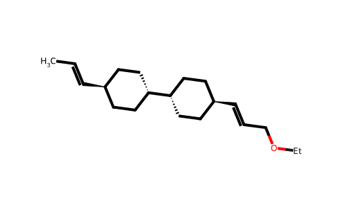 CC=C[C@H]1CC[C@H]([C@H]2CC[C@H](C=CCOCC)CC2)CC1